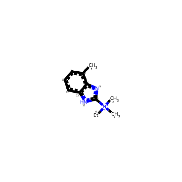 CC[N+](C)(C)c1nc2c(C)cccc2[nH]1